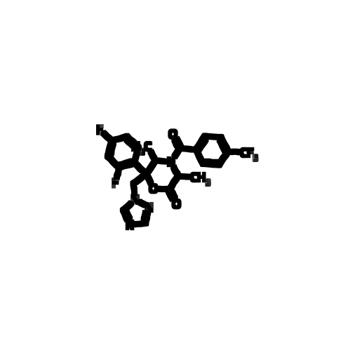 CC1C(=O)OC(Cn2cncn2)(c2ccc(F)cc2F)C(C)N1C(=O)c1ccc(C(F)(F)F)cc1